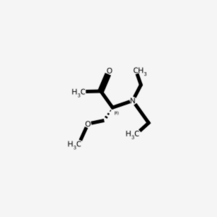 CCN(CC)[C@H](COC)C(C)=O